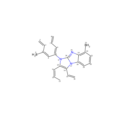 B/C(C=C)=C/C(=C\C=C)n1c(/C=C\C)c(C=C)n2c3cccc(B)c3nc12